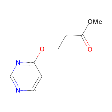 COC(=O)CCOc1c[c]ncn1